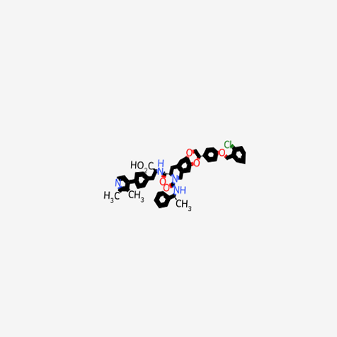 Cc1nccc(-c2ccc(C[C@H](NC(=O)[C@@H]3Cc4cc5c(cc4CN3C(=O)N[C@H](C)c3ccccc3)O[C@@H](c3ccc(OCc4ccccc4Cl)cc3)CO5)C(=O)O)cc2)c1C